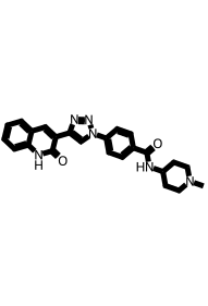 CN1CCC(NC(=O)c2ccc(-n3cc(-c4cc5ccccc5[nH]c4=O)nn3)cc2)CC1